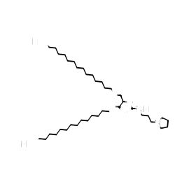 CCCCCCCCCCCCCCCOC(=O)C(OC(=S)NCCCN1CCCC1)C(=O)OCCCCCCCCCCCCCCC